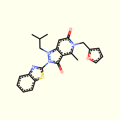 Cc1c2c(=O)n(-c3nc4ccccc4s3)n(CC(C)C)c2cc(=O)n1Cc1ccco1